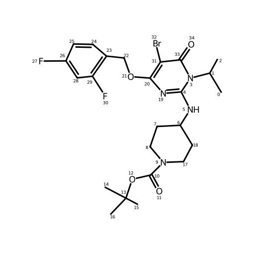 CC(C)n1c(NC2CCN(C(=O)OC(C)(C)C)CC2)nc(OCc2ccc(F)cc2F)c(Br)c1=O